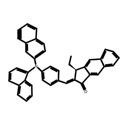 CC[C@@H]1/C(=C\c2ccc(N(c3ccc4ccc#cc4c3)c3cccc4ccccc34)cc2)C(=O)c2cc3ccccc3cc21